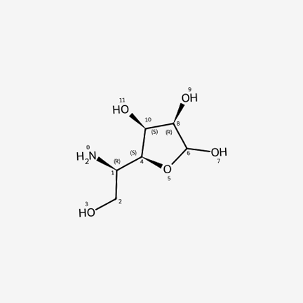 N[C@H](CO)[C@@H]1OC(O)[C@H](O)[C@@H]1O